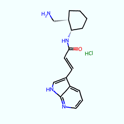 Cl.NC[C@@H]1CCCC[C@@H]1NC(=O)/C=C/c1c[nH]c2ncccc12